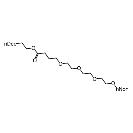 CCCCCCCCCCCCOC(=O)CCCOCCOCCOCCOCCCCCCCCC